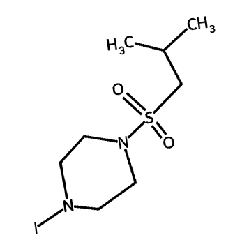 CC(C)CS(=O)(=O)N1CCN(I)CC1